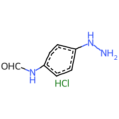 Cl.NNc1ccc(NC=O)cc1